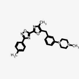 Cc1ccc(-c2noc(-c3nc(C)c(Cc4cccc(N5CCN(C)CC5)c4)o3)n2)cc1